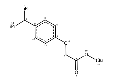 CC(C)C(c1ccc(OCC(=O)OC(C)(C)C)cc1)C(C)C